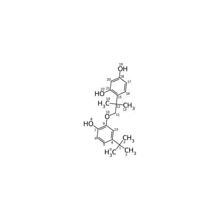 CC(C)(C)c1ccc(O)c(OCC(C)(C)c2ccc(O)cc2O)c1